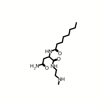 CCCCCCCC(=O)NC(CC(N)=O)C(=O)NCCNC